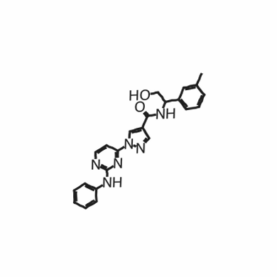 Cc1cccc(C(CO)NC(=O)c2cnn(-c3ccnc(Nc4ccccc4)n3)c2)c1